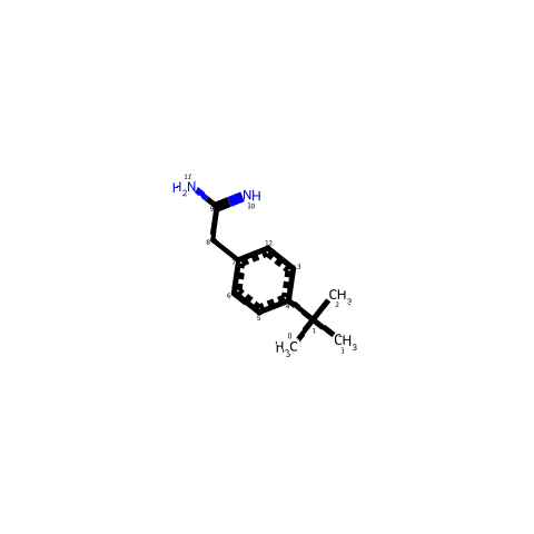 CC(C)(C)c1ccc(CC(=N)N)cc1